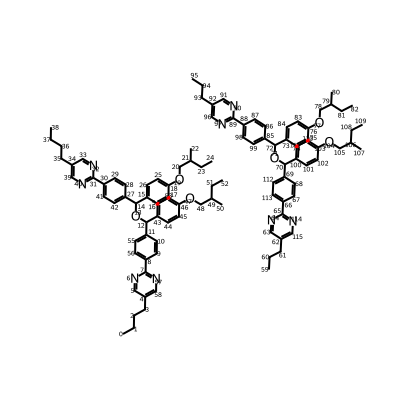 CCCCc1cnc(-c2ccc(C(OC(c3ccc(OCC(C)CC)cc3)c3ccc(-c4ncc(CCCC)cn4)cc3)c3ccc(OCC(C)CC)cc3)cc2)nc1.CCCc1cnc(-c2ccc(C(OC(c3ccc(OCC(C)CC)cc3)c3ccc(-c4ncc(CCC)cn4)cc3)c3ccc(OCC(C)CC)cc3)cc2)nc1